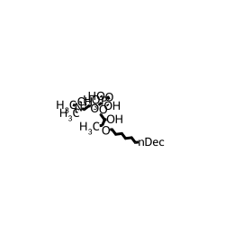 CCCCCCCCCCCCCCCCOC(C)C(O)COC(O)(OCC[N+](C)(C)C)P(=O)(O)O